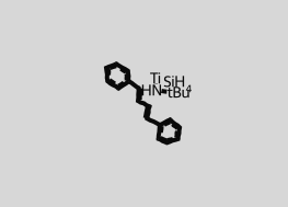 C(C=Cc1ccccc1)=Cc1ccccc1.CC(C)(C)[NH][Ti].[SiH4]